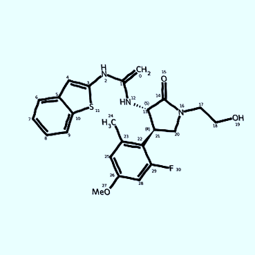 C=C(Nc1cc2ccccc2s1)N[C@@H]1C(=O)N(CCO)C[C@H]1c1c(C)cc(OC)cc1F